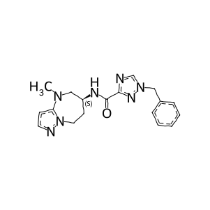 CN1C[C@@H](NC(=O)c2ncn(Cc3ccccc3)n2)CCn2nccc21